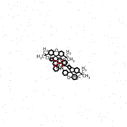 CC(C)(C)c1ccc2c(c1)C1(c3cc(C(C)(C)C)ccc3O2)c2ccccc2-c2c(-c3ccccc3N(c3ccc4c(c3)C3(c5ccccc5O4)c4cc(C(C)(C)C)ccc4-c4ccc(C(C)(C)C)cc43)c3ccccc3-c3ccccc3)cccc21